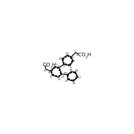 O=C(O)Cc1ccc(-c2cc(CC(=O)O)ccc2-c2ccccc2)cc1